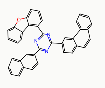 c1ccc2cc(-c3nc(-c4ccc5ccc6ccccc6c5c4)nc(-c4cccc5oc6ccccc6c45)n3)ccc2c1